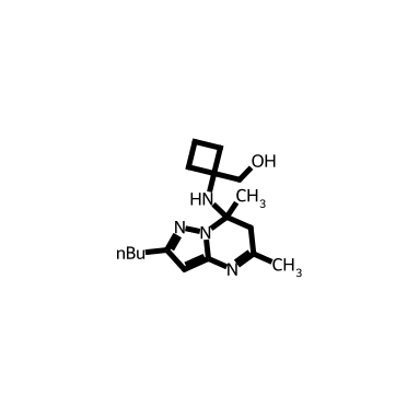 CCCCc1cc2n(n1)C(C)(NC1(CO)CCC1)CC(C)=N2